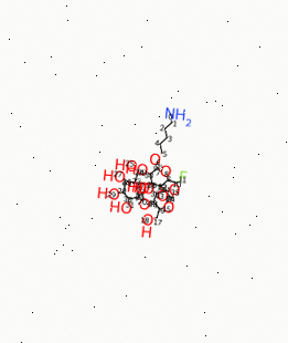 NCCCCCO[C@@H]1OC(CF)[C@@H](O[C@]23OC(CO)[C@H](O[C@H]4OC(CO)[C@H](O)C(O)C4O)C(O)C2O3)C(O)C1O